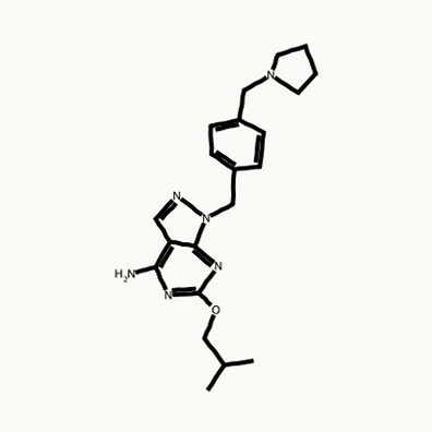 CC(C)COc1nc(N)c2cnn(Cc3ccc(CN4CCCC4)cc3)c2n1